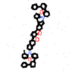 Cc1ccccc1N(c1ccc2cc3c(cc2c1)oc1c3ccc2c3cc4c5cc(cc4cc3oc21)N(c1cccc2c1oc1c(-c3ccccc3)cccc12)c1ccccc1-5)c1cccc2c1oc1c(-c3ccccc3)cccc12